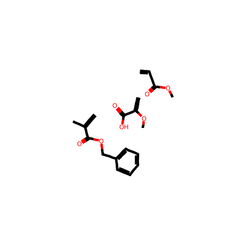 C=C(C)C(=O)OCc1ccccc1.C=C(OC)C(=O)O.C=CC(=O)OC